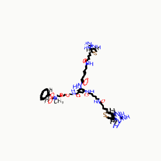 CN(CCOCCOCCNC(=O)c1cc(NC(=O)CCCCCNC(=O)CCCC[C@@H]2SC[C@@H]3NC(=N)N[C@@H]32)cc(NC(=O)CCCCCNC(=O)CCCC[C@@H]2SC[C@@H]3NC(=N)N[C@@H]32)c1)C(=O)OC1[C@H]2CCC#CCC[C@@H]12